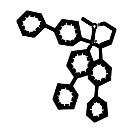 C[O+]1CCC=C(c2ccc(-c3ccccc3)cc2)[B-]1(c1ccc(-c2ccccc2)cc1)c1ccc(-c2ccccc2)cc1